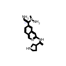 C=C(Nc1cc2cc(/C(=C/N)N(C)N)ccc2cn1)C1CCNC1